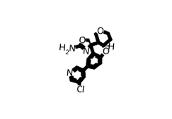 NC1=N[C@@]2(CO1)c1cc(-c3cncc(Cl)c3)ccc1O[C@@H]1CCOCC12